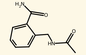 CC(=O)NCc1ccccc1C(N)=O